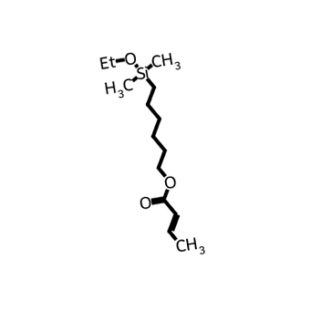 CC=CC(=O)OCCCCCC[Si](C)(C)OCC